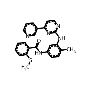 Cc1ccc(NC(=O)c2ccccc2SC(F)(F)F)cc1Nc1nccc(-c2cccnc2)n1